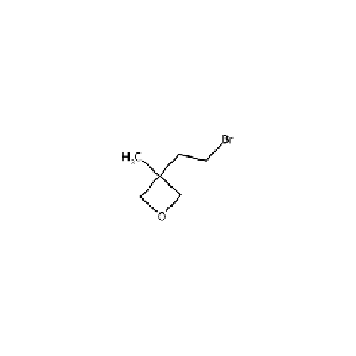 CC1(CCBr)COC1